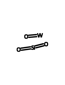 O=[Si]=O.[O]=[W]